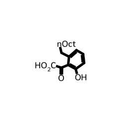 CCCCCCCCCc1cccc(O)c1C(=O)C(=O)O